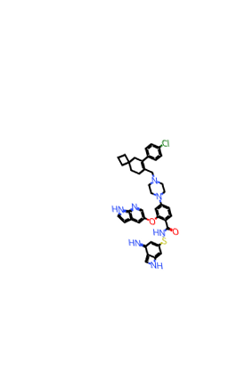 N=C1C=C(SNC(=O)c2ccc(N3CCN(CC4=C(c5ccc(Cl)cc5)CC5(CCC5)CC4)CC3)cc2Oc2cnc3[nH]ccc3c2)C=C2NC=C12